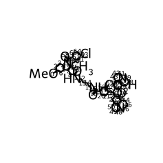 COc1ccc2c(c1)c(CC(=O)NCCCCNC(=O)c1ccc(C3=c4cc5c6c(c4Oc4c3cc3c7c4CCCN7CCC3)CCC[N+]=6CCC5)c(C(=O)O)c1)c(C)n2C(=O)c1ccc(Cl)cc1